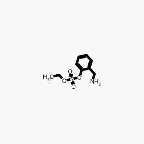 CCOS(=O)(=O)Oc1ccccc1CN